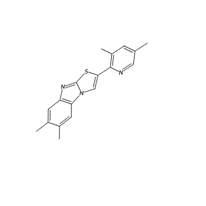 Cc1cnc(-c2cn3c(nc4cc(C)c(C)cc43)s2)c(C)c1